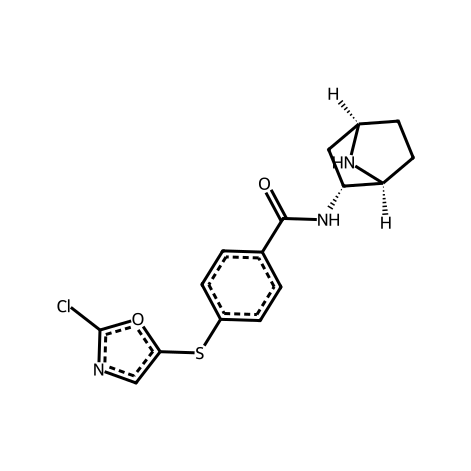 O=C(N[C@@H]1C[C@H]2CC[C@@H]1N2)c1ccc(Sc2cnc(Cl)o2)cc1